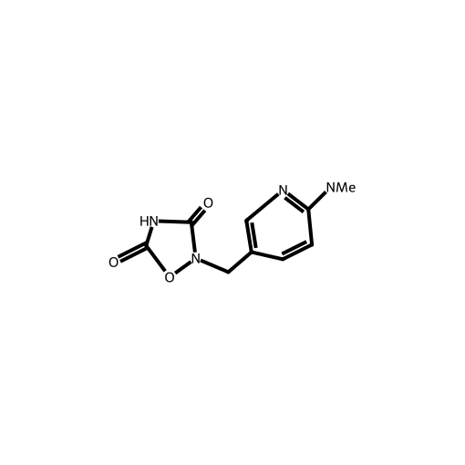 CNc1ccc(Cn2oc(=O)[nH]c2=O)cn1